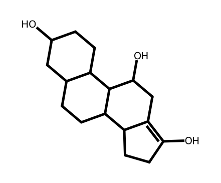 OC1=C2CC(O)C3C4CCC(O)CC4CCC3C2CC1